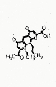 CCCc1c2oc(C(=O)O)cc(=O)c2cc2c(=O)cc(C(C)=O)n(CC)c12